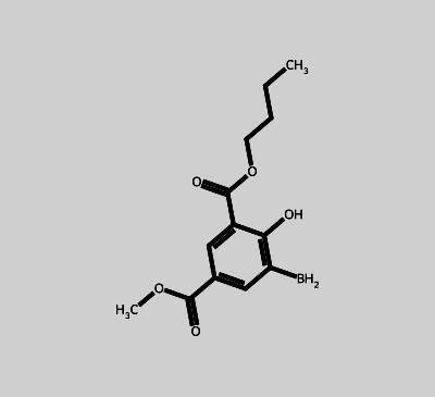 Bc1cc(C(=O)OC)cc(C(=O)OCCCC)c1O